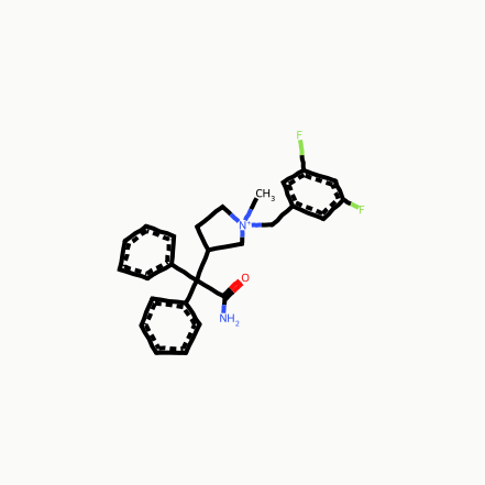 C[N+]1(Cc2cc(F)cc(F)c2)CCC(C(C(N)=O)(c2ccccc2)c2ccccc2)C1